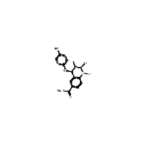 CCC1C(C)C(Nc2cnc(C#N)cn2)c2cc(C(=O)NC)ccc2N1C(C)=O